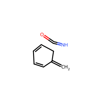 C=C1C=CC=CC1.N=C=O